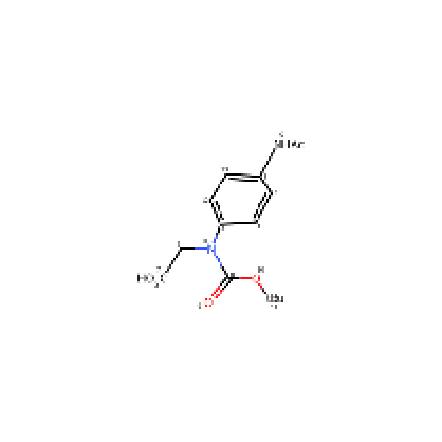 CC(=O)Nc1ccc(N(CC(=O)O)C(=O)OC(C)(C)C)cc1